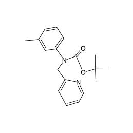 Cc1cccc(N(Cc2ccccn2)C(=O)OC(C)(C)C)c1